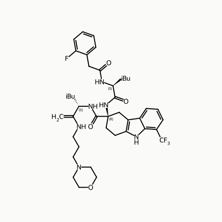 C=C(NCCCN1CCOCC1)[C@@H](NC(=O)[C@@]1(NC(=O)[C@@H](NC(=O)Cc2ccccc2F)C(C)CC)CCc2[nH]c3c(C(F)(F)F)cccc3c2C1)C(C)CC